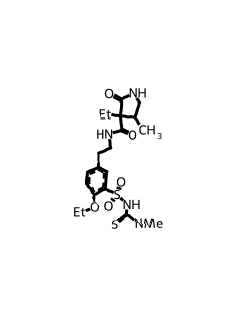 CCOc1ccc(CCNC(=O)C2(CC)C(=O)NCC2C)cc1S(=O)(=O)NC(=S)NC